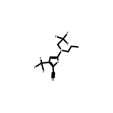 CCCN(CC(F)(F)F)c1cc(C(F)(F)F)c(C#N)s1